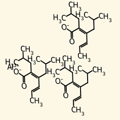 CC=CC(CC(C)C)=C(CC(C)C)C(=O)[O-].CC=CC(CC(C)C)=C(CC(C)C)C(=O)[O-].CC=CC(CC(C)C)=C(CC(C)C)C(=O)[O-].[Al+3]